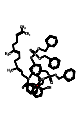 CC(C)=CCC/C(C)=C/CC/C(C)=C/CN1C(=O)c2cccc(O)c2Nc2c(CP(=O)(OCc3ccccc3)OCc3ccccc3)cc(OP(=O)(OCc3ccccc3)OCc3ccccc3)cc21